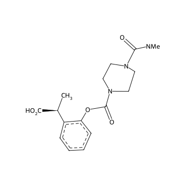 CNC(=O)N1CCN(C(=O)Oc2ccccc2[C@H](C)C(=O)O)CC1